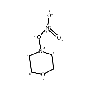 O=[N+]([O-])ON1CCOCC1